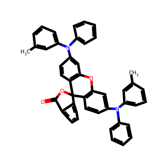 Cc1cccc(N(c2ccccc2)c2ccc3c(c2)Oc2cc(N(c4ccccc4)c4cccc(C)c4)ccc2C32OC(=O)c3ccccc32)c1